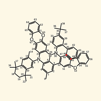 Cc1cc2c3c(c1)N(c1cc4c(cc1C)C(C)(C)CCC4(C)C)c1cc4c(cc1B3N(c1ccc(C(C)(C)C)cc1-c1ccccc1)c1cc3c(cc1-2)oc1ccccc13)Oc1ccccc1O4